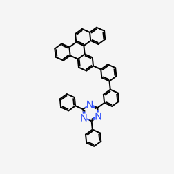 c1ccc(-c2nc(-c3ccccc3)nc(-c3cccc(-c4cccc(-c5ccc6c7ccccc7c7ccc8ccccc8c7c6c5)c4)c3)n2)cc1